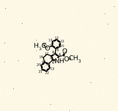 COC(=O)c1[nH]c2c(c1-c1ccccc1OC)CCc1ccccc1-2